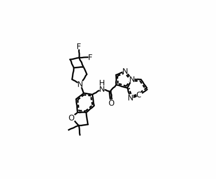 CC1(C)Cc2cc(NC(=O)c3cnn4cccnc34)c(N3CC4CC(F)(F)C4C3)cc2O1